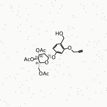 C#CCOc1cc(O[C@H]2C[C@@H](OC(C)=O)[C@H](OC(C)=O)[C@@H](COC(C)=O)O2)ccc1CO